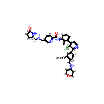 COc1cc(-c2nccc(-c3cccc(NC(=O)c4ccc(CNC[C@H]5CCC(=O)N5)cn4)c3C)c2Cl)ccc1CNC1CCOCC1